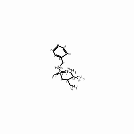 [CH2]C(CS(=O)(=O)NCc1ccccc1)C(C)C